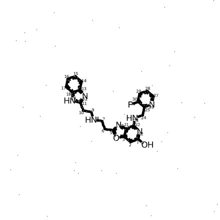 Oc1cc2oc(CCNCCc3nc4ccccc4[nH]3)nc2c(NCc2ncccc2F)n1